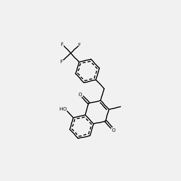 CC1=C(Cc2ccc(C(F)(F)F)cc2)C(=O)c2c(O)cccc2C1=O